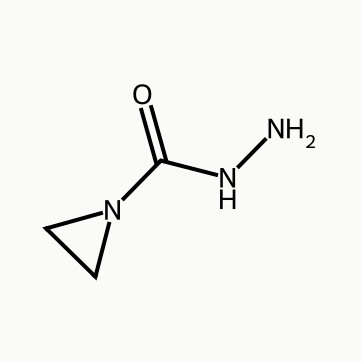 NNC(=O)N1CC1